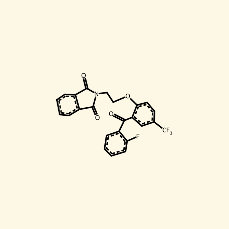 O=C(c1ccccc1F)c1cc(C(F)(F)F)ccc1OCCN1C(=O)c2ccccc2C1=O